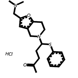 CC(=O)CCC(Sc1ccccc1)N1CCc2oc(CN(C)C)cc2C1.Cl